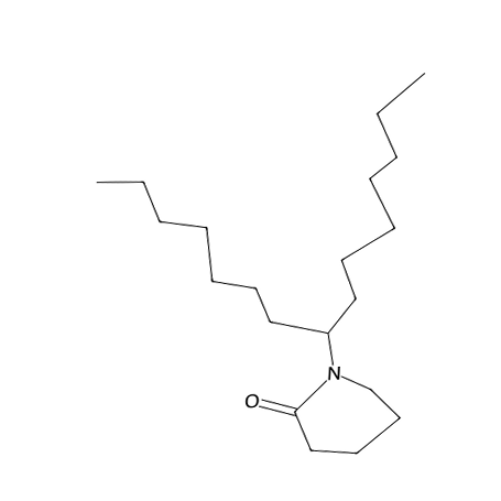 CCCCCCCC(CCCCCCC)N1CCCCC1=O